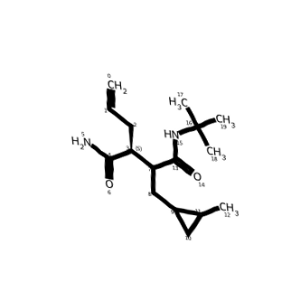 C=CC[C@H](C(N)=O)C(CC1CC1C)C(=O)NC(C)(C)C